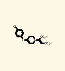 O=C(O)/C=C(\C(=O)O)N1CC=C(Oc2ccc(Cl)cc2)CC1